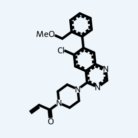 C=CC(=O)N1CCN(c2ncnc3cc(-c4ccccc4COC)c(Cl)cc23)CC1